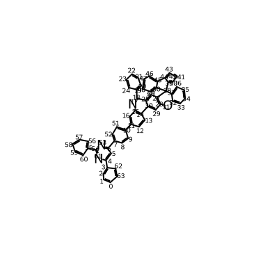 c1ccc(-c2cc(-c3ccc(-c4ccc5c(c4)nc(-c4ccccc4)c4cc6c(cc45)Oc4ccccc4C64c5ccccc5-c5ccccc54)cc3)nc(-c3ccccc3)n2)cc1